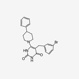 O=c1[nH]c(N2CCC(c3ccccc3)CC2)c(Cc2cccc(Br)c2)c(=O)[nH]1